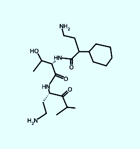 CC(C)C(=O)[C@H](CCN)NC(=O)[C@@H](NC(=O)C(CCN)C1CCCCC1)C(C)O